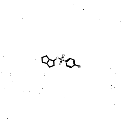 O=S(=O)(OC1CCC2CCCC21)c1ccc(Br)cc1